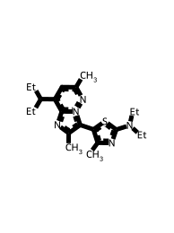 CCC(CC)c1cc(C)nn2c(-c3sc(N(CC)CC)nc3C)c(C)nc12